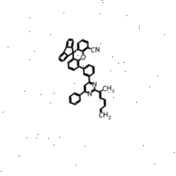 C=C/C=C\C=C(/C)c1nc(-c2ccccc2)cc(-c2cccc(-c3cccc4c3Oc3c(C#N)cccc3C43c4ccccc4-c4ccccc43)c2)n1